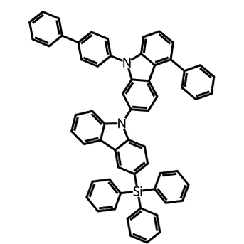 c1ccc(-c2ccc(-n3c4cc(-n5c6ccccc6c6cc([Si](c7ccccc7)(c7ccccc7)c7ccccc7)ccc65)ccc4c4c(-c5ccccc5)cccc43)cc2)cc1